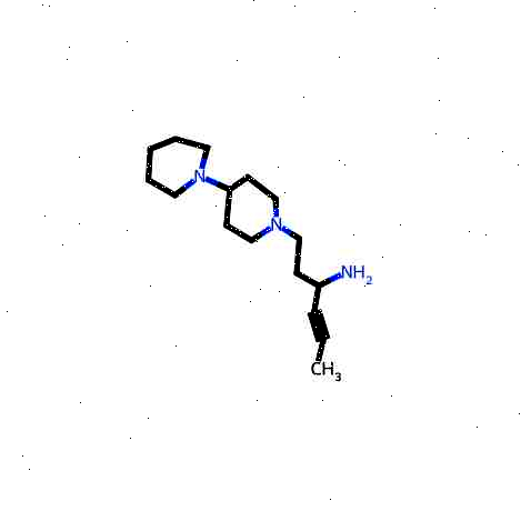 CC#CC(N)CCN1CCC(N2CCCCC2)CC1